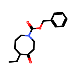 CCC1CCCN(C(=O)OCc2ccccc2)CCC1=O